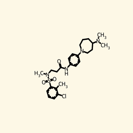 Cc1c(Cl)cccc1S(=O)(=O)N(C)CCC(=O)Nc1ccc(N2CCCC(N(C)C)CC2)cc1